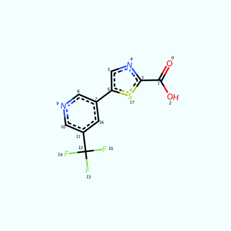 O=C(O)c1ncc(-c2cncc(C(F)(F)F)c2)s1